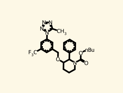 CCCCOC(=O)N1CCCC(OCc2cc(-n3nnnc3C)cc(C(F)(F)F)c2)C1c1ccccc1